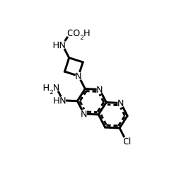 NNc1nc2cc(Cl)cnc2nc1N1CC(NC(=O)O)C1